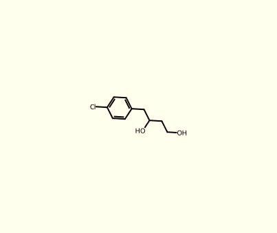 OCCC(O)Cc1ccc(Cl)cc1